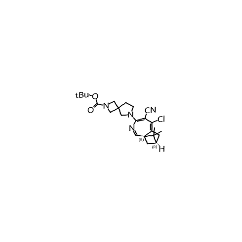 CC(C)(C)OC(=O)N1CC2(CCN(C3=C(C#N)C(Cl)=C4C[C@H]5C[C@@]4(C=N3)C5(C)C)C2)C1